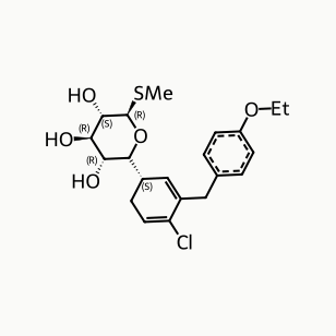 CCOc1ccc(CC2=C[C@@H](C3O[C@H](SC)[C@@H](O)[C@H](O)[C@H]3O)CC=C2Cl)cc1